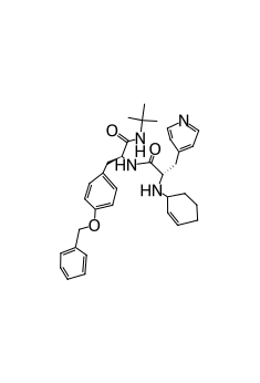 CC(C)(C)NC(=O)[C@H](Cc1ccc(OCc2ccccc2)cc1)NC(=O)[C@H](Cc1ccncc1)NC1C=CCCC1